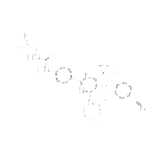 C[C@H]1COCCN1c1cc(C2(S(=O)(=O)c3ccc(C#N)cc3)CC2)nc(-c2ccc(NC(=O)NCC(F)F)cc2)n1